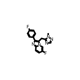 Cn1ncnc1Cc1c(-c2ccc(F)cc2)nc2ccc(F)cn12